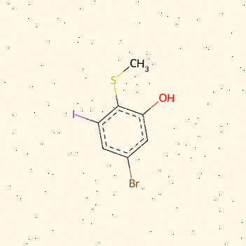 CSc1c(O)cc(Br)cc1I